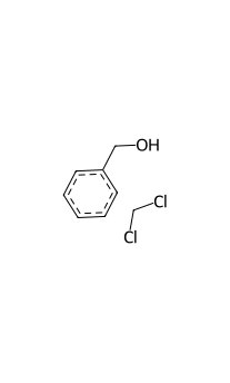 ClCCl.OCc1ccccc1